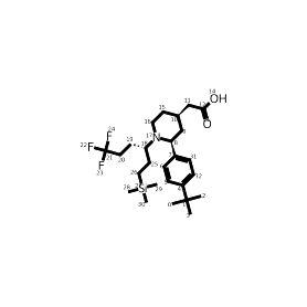 CC(C)(C)c1ccc([C@@H]2C[C@H](CC(=O)O)CCN2[C@@H](CCC(F)(F)F)CC[Si](C)(C)C)cc1